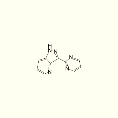 c1cnc(-c2n[nH]c3cccnc23)nc1